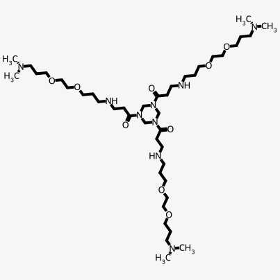 CN(C)CCCOCCOCCCNCCC(=O)N1CN(C(=O)CCNCCCOCCOCCCN(C)C)CN(C(=O)CCNCCCOCCOCCCN(C)C)C1